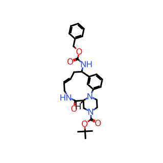 CC(C)(C)OC(=O)N1CCN2c3cccc(c3)C(NC(=O)OCc3ccccc3)C/C=C/CNC(=O)[C@H]2C1